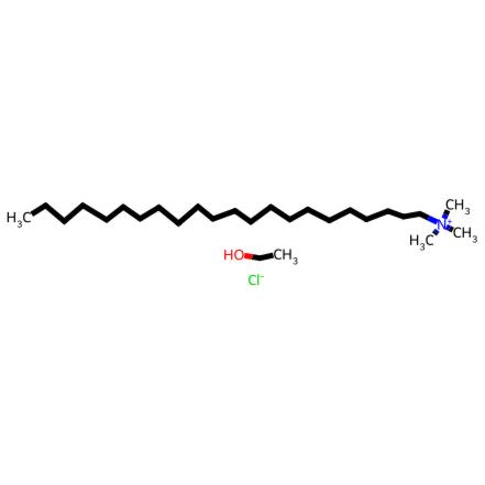 CCCCCCCCCCCCCCCCCCCCCC[N+](C)(C)C.CCO.[Cl-]